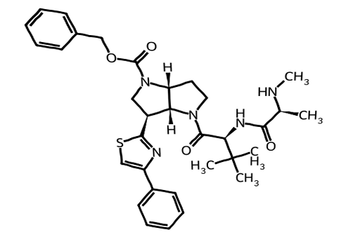 CN[C@@H](C)C(=O)N[C@H](C(=O)N1CC[C@@H]2[C@H]1[C@@H](c1nc(-c3ccccc3)cs1)CN2C(=O)OCc1ccccc1)C(C)(C)C